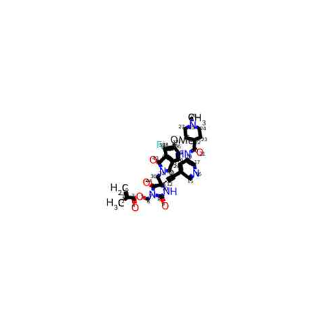 C=C(C)C(=O)OCN1C(=O)N[C@](C#Cc2cncc(NC(=O)C3CCN(C)CC3)c2)(CN2Cc3ccc(OC)c(F)c3C2=O)C1=O